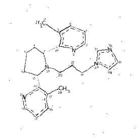 Cc1cccnc1[C@H]1CCC[C@@H](c2ncccc2C)N1CCCn1ccnc1